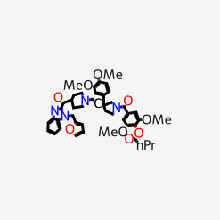 CCCC(=O)Oc1c(OC)cc(C(=O)N2CCC(CCN3CCC(C(=O)c4nc5ccccc5n4Cc4ccco4)CC3)(c3ccc(OC)c(OC)c3)C2)cc1OC